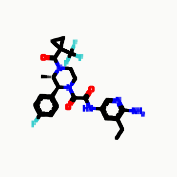 CCc1cc(NC(=O)C(=O)N2CCN(C(=O)C3(C(F)(F)F)CC3)[C@@H](C)[C@@H]2c2ccc(F)cc2)cnc1N